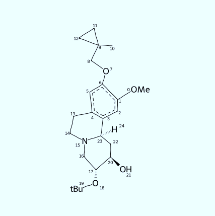 COc1cc2c(cc1OCC1(C)CC1)CCN1C[C@@H](OC(C)(C)C)[C@H](O)C[C@H]21